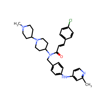 Cc1cc(Nc2ccc(CN(C(=O)/C=C/c3ccc(Cl)cc3)C3CCN(C4CCN(C)CC4)CC3)cc2)ccn1